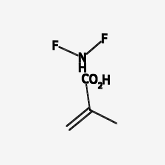 C=C(C)C(=O)O.FNF